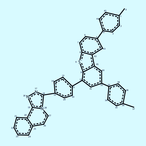 Cc1ccc(-c2ccc3sc4c(-c5ccc(-c6nnc7c8ccccc8ccn67)cc5)cc(-c5ccc(C)cc5)cc4c3c2)cc1